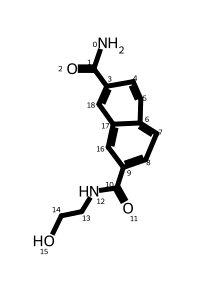 NC(=O)c1ccc2ccc(C(=O)NCCO)cc2c1